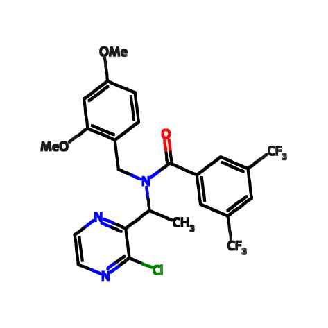 COc1ccc(CN(C(=O)c2cc(C(F)(F)F)cc(C(F)(F)F)c2)C(C)c2nccnc2Cl)c(OC)c1